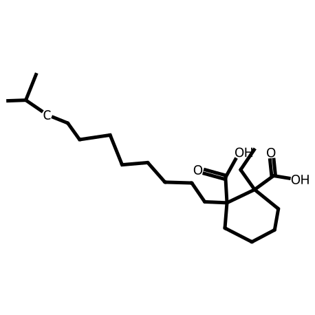 CCC1(C(=O)O)CCCCC1(CCCCCCCCCC(C)C)C(=O)O